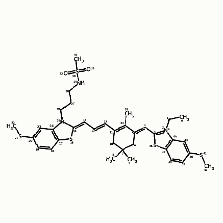 CC[n+]1c(/C=C2\CC(C)(C)CC(/C=C/C=C3\Sc4ccc(SC)cc4N3CCCNS(C)(=O)=O)=C2C)sc2ccc(SC)cc21